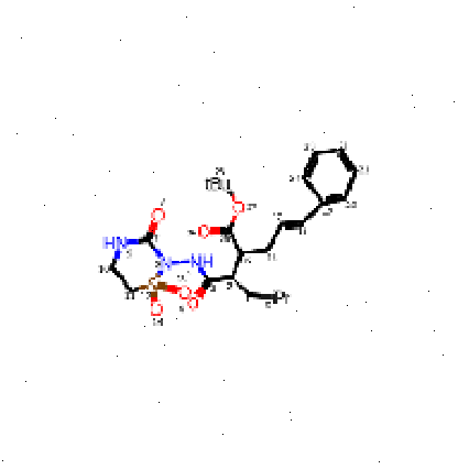 CC(C)C[C@@H](C(=O)NN1C(=O)NCCS1(=O)=O)[C@H](C/C=C/c1ccccc1)C(=O)OC(C)(C)C